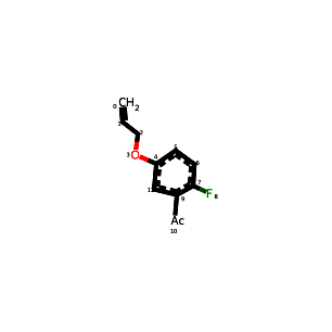 C=CCOc1ccc(F)c(C(C)=O)c1